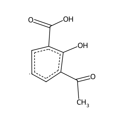 CC(=O)c1c[c]cc(C(=O)O)c1O